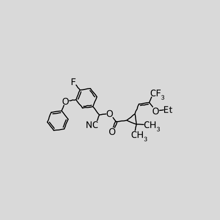 CCOC(=CC1C(C(=O)OC(C#N)c2ccc(F)c(Oc3ccccc3)c2)C1(C)C)C(F)(F)F